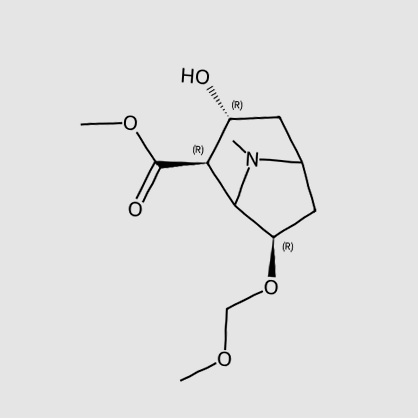 COCO[C@@H]1CC2C[C@@H](O)[C@H](C(=O)OC)C1N2C